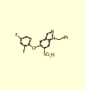 CC(C)Cn1ncc2cc(Oc3ccc(F)cc3F)c(S(=O)(=O)O)cc21